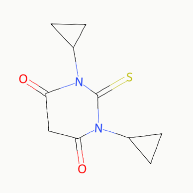 O=C1CC(=O)N(C2CC2)C(=S)N1C1CC1